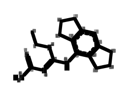 CCS/C(=N\C(N)=S)Nc1c2c(cc3c1CCC3)CCC2